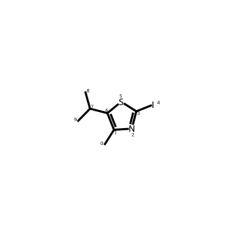 Cc1nc(I)sc1C(C)C